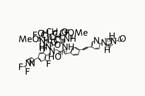 COC(=O)N[C@H](C(=O)N[C@@H](Cc1ccc(C#Cc2ccc(N3C[C@@H]4C[C@H]3CN4C3COC3)nc2)cc1)[C@@H](O)CN(Cc1c(F)cc(-c2ccn(C(F)F)n2)cc1F)NC(=O)[C@@H](NC(=O)OC)C(C)(C)C(F)(F)F)C(C)(C)C(F)(F)F